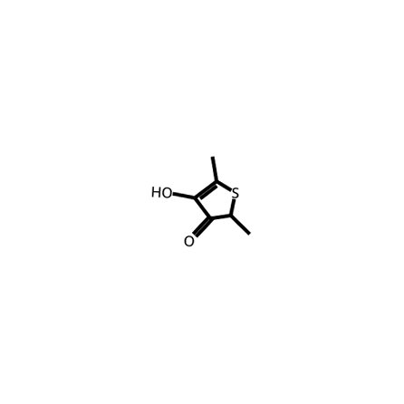 CC1=C(O)C(=O)C(C)S1